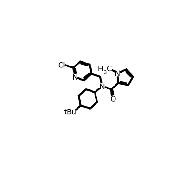 Cn1cccc1C(=O)N(Cc1ccc(Cl)nc1)C1CCC(C(C)(C)C)CC1